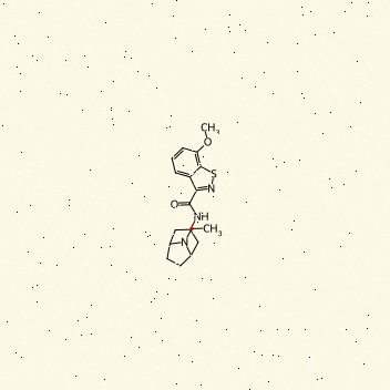 CCN1C2CCC1CC(NC(=O)c1nsc3c(OC)cccc13)C2